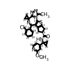 COc1cc(C2(NC(=O)[C@@H]3Cc4sc5c(c4C3)C(c3ccccc3Cl)=NC3(CC3)c3nnc(C)n3-5)CC2)ccn1